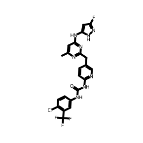 Cc1cc(Nc2cc(F)n[nH]2)nc(Cc2ccc(NC(=O)Nc3ccc(Cl)c(C(F)(F)F)c3)nc2)n1